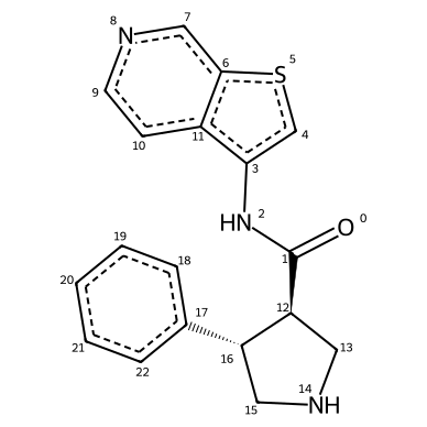 O=C(Nc1csc2cnccc12)[C@H]1CNC[C@@H]1c1ccccc1